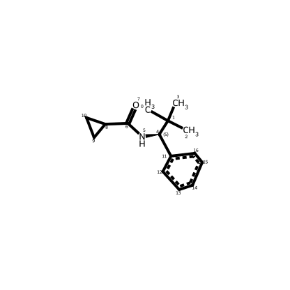 CC(C)(C)[C@H](NC(=O)C1CC1)c1ccccc1